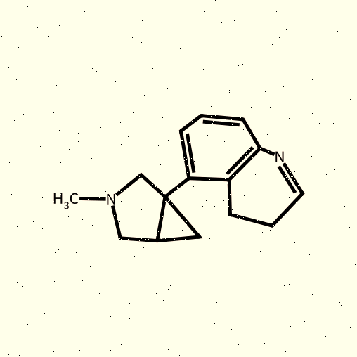 CN1CC2CC2(c2cccc3c2CCC=N3)C1